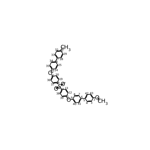 COc1ccc(-c2ccc(Oc3ccc(S(=O)(=O)c4ccc(Oc5ccc(-c6ccc(C)cc6)cc5)cc4)cc3)cc2)cc1